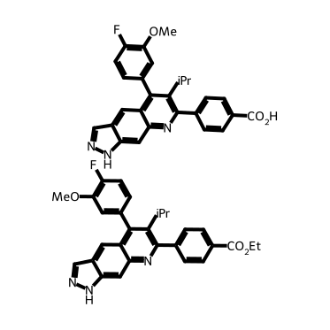 CCOC(=O)c1ccc(-c2nc3cc4[nH]ncc4cc3c(-c3ccc(F)c(OC)c3)c2C(C)C)cc1.COc1cc(-c2c(C(C)C)c(-c3ccc(C(=O)O)cc3)nc3cc4[nH]ncc4cc23)ccc1F